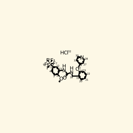 COc1ccc(S(F)(F)(F)(F)F)cc1NC(=O)NCc1ccccc1Oc1ccncc1.Cl